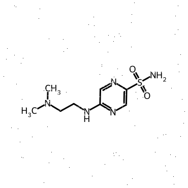 CN(C)CCNc1cnc(S(N)(=O)=O)cn1